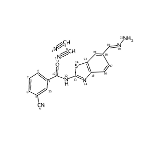 C#N.C#N.N#Cc1cccc(C(=O)Nc2nc3ccc(C=NN)cc3s2)c1